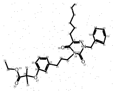 CCCCCCc1nn(Cc2ccccc2)c(=O)n(CCCc2cccc(OC(C)(C)C(=O)OCC)c2)c1=O